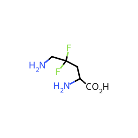 NCC(F)(F)CC(N)C(=O)O